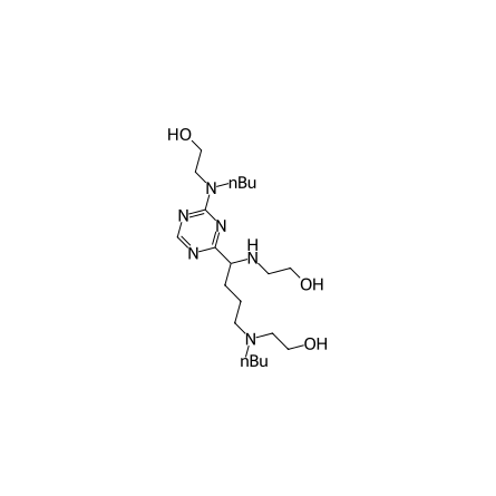 CCCCN(CCO)CCCC(NCCO)c1ncnc(N(CCO)CCCC)n1